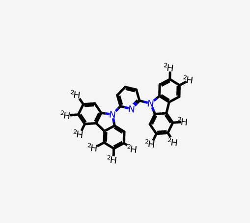 [2H]c1cc2c3c([2H])c([2H])c([2H])cc3n(-c3cccc(-n4c5cc([2H])c([2H])c([2H])c5c5c([2H])c([2H])c([2H])cc54)n3)c2cc1[2H]